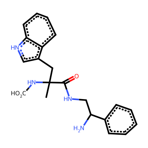 CC(Cc1c[nH]c2ccccc12)(NC(=O)O)C(=O)NCC(N)c1ccccc1